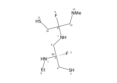 CCN[C@](F)(CS)CNC(F)(CS)CNC